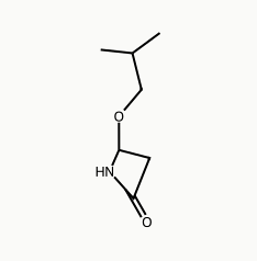 CC(C)COC1CC(=O)N1